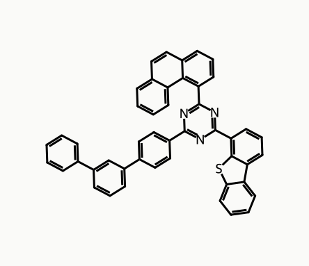 c1ccc(-c2cccc(-c3ccc(-c4nc(-c5cccc6c5sc5ccccc56)nc(-c5cccc6ccc7ccccc7c56)n4)cc3)c2)cc1